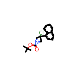 CC(C)(C)OC(=O)N1CC(Cl)(c2cccc3ccccc23)C1